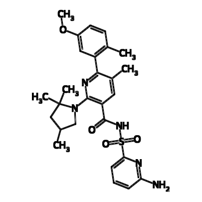 COc1ccc(C)c(-c2nc(N3CC(C)CC3(C)C)c(C(=O)NS(=O)(=O)c3cccc(N)n3)cc2C)c1